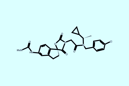 CNC(=O)Nc1ccc2c(c1)CC[C@@]21OC(=O)N(CC(=O)N(Cc2ccc(Cl)cc2)[C@@H](C)C2CC2)C1=O